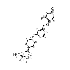 CC(C)(C)OC(=O)N1CCC(Oc2cccc(COc3ccc(Cl)cc3F)c2)CC1